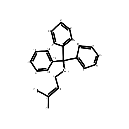 CC(I)=CCOC(c1ccccc1)(c1ccccc1)c1ccccc1